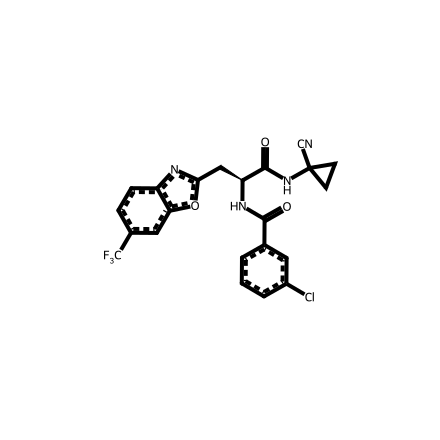 N#CC1(NC(=O)[C@H](Cc2nc3ccc(C(F)(F)F)cc3o2)NC(=O)c2cccc(Cl)c2)CC1